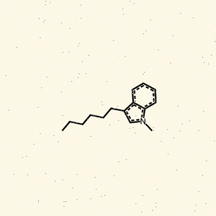 CCCCCCc1cn(C)c2ccccc12